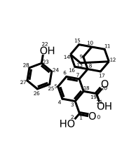 O=C(O)c1cccc(C23CC4CC(CC(C4)C2)C3)c1C(=O)O.Oc1ccccc1